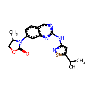 CC(C)c1cc(Nc2ncc3ccc(N4C(=O)OC[C@@H]4C)cc3n2)ns1